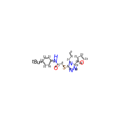 C=CCn1c(SCC(=O)Nc2ccc(C(C)(C)C)cc2)nnc1-c1ccco1